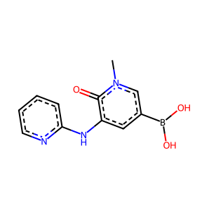 Cn1cc(B(O)O)cc(Nc2ccccn2)c1=O